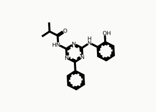 CC(C)C(=O)Nc1nc(Nc2ccccc2O)nc(-c2ccccc2)n1